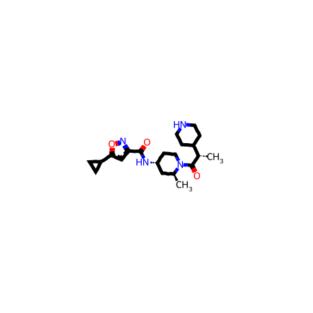 C[C@H](C(=O)N1CC[C@@H](NC(=O)c2cc(C3CC3)on2)C[C@@H]1C)C1CCNCC1